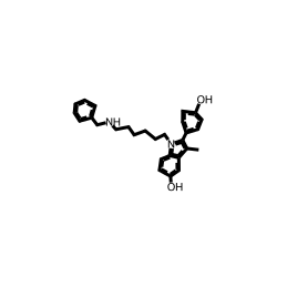 Cc1c(-c2ccc(O)cc2)n(CCCCCCNCc2ccccc2)c2ccc(O)cc12